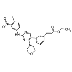 CCOC(=O)C=Cc1cccc(-c2cnc(Nc3ccc(F)c([N+](=O)[O-])c3)nc2N2CCOCC2)c1